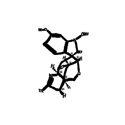 CCC1=N[C@H]2C[C@@]3(C(=O)N(OC)c4cc(OC)ccc43)[C@@H]3OC[C@H]2[C@H]1[C@H]3O